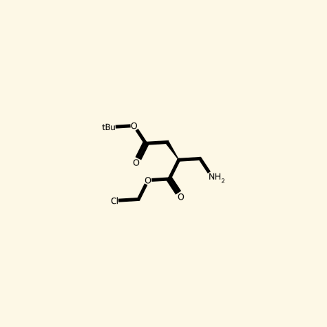 CC(C)(C)OC(=O)C[C@@H](CN)C(=O)OCCl